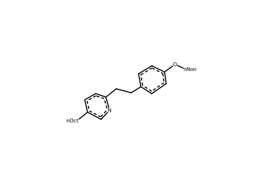 CCCCCCCCCOc1ccc(CCc2ccc(CCCCCCCC)cn2)cc1